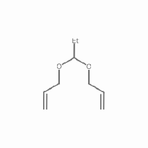 C=CCOC(CC)OCC=C